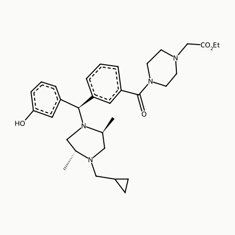 CCOC(=O)CN1CCN(C(=O)c2cccc([C@H](c3cccc(O)c3)N3C[C@@H](C)N(CC4CC4)C[C@@H]3C)c2)CC1